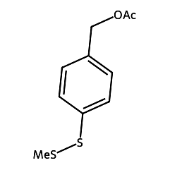 CSSc1ccc(COC(C)=O)cc1